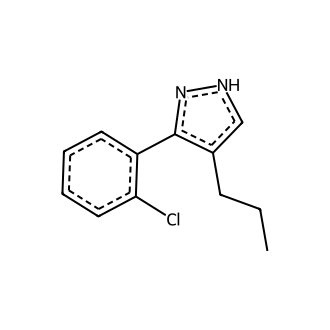 CCCc1c[nH]nc1-c1ccccc1Cl